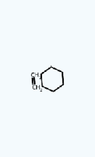 C=C.[CH]1CCCCC1